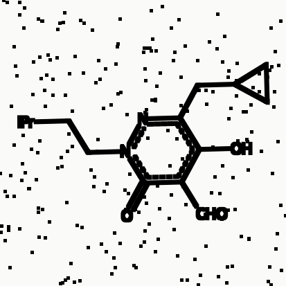 CC(C)CCn1nc(CC2CC2)c(O)c(C=O)c1=O